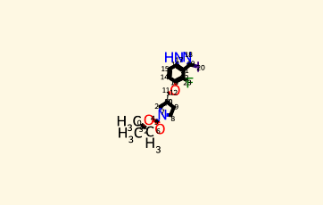 CC(C)(C)OC(=O)N1CC[C@@H](COc2ccc3[nH]nc(I)c3c2F)C1